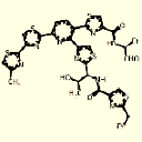 CC[C@@H](C=O)NC(=O)c1csc(-c2ccc(-c3nc(-c4nc(C)cs4)cs3)nc2-c2csc([C@@H](NC(=O)c3csc(CC(C)C)n3)[C@@H](C)O)n2)n1